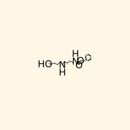 O=C(NCCCCNCCCCO)OCc1ccccc1